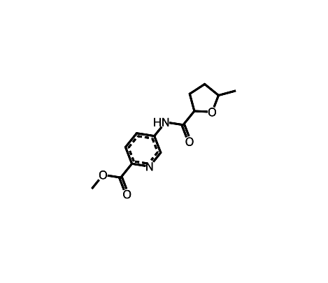 COC(=O)c1ccc(NC(=O)C2CCC(C)O2)cn1